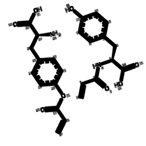 C=CC(=O)N[C@@H](Cc1ccc(O)cc1)C(=O)O.C=CC(=O)Oc1ccc(C[C@H](N)C(=O)O)cc1